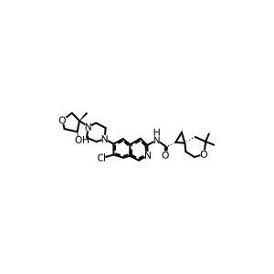 CC1(C)C[C@@]2(CCO1)C[C@H]2C(=O)Nc1cc2cc(N3CCN([C@@]4(C)COC[C@H]4O)CC3)c(Cl)cc2cn1